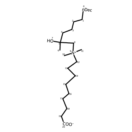 CCCCCCCCCCCCCCC(C)(O)C[N+](C)(C)CCCCCCCCC(=O)[O-]